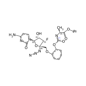 CC(C)OC(=O)[C@H](C)/N=[P+](\[O-])Oc1ccccc1OC[C@@]1(N=[N+]=[N-])O[C@@H](n2ccc(N)nc2=O)[C@H](O)[C@@H]1F